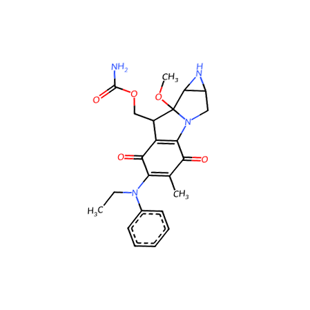 CCN(C1=C(C)C(=O)C2=C(C1=O)C(COC(N)=O)C1(OC)C3NC3CN21)c1ccccc1